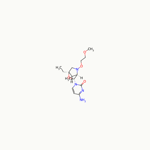 CC[C@@]12CN(OCCOC)[C@@H]([C@H](n3ccc(N)nc3=O)O1)[C@@H]2C